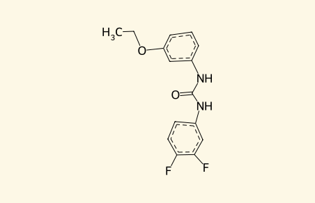 CCOc1cccc(NC(=O)Nc2ccc(F)c(F)c2)c1